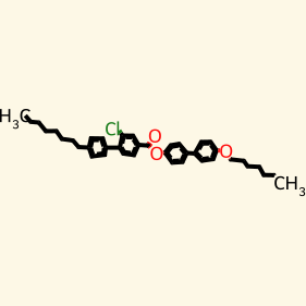 CCCCCCCCc1ccc(-c2ccc(C(=O)Oc3ccc(-c4ccc(OCCCCCCC)cc4)cc3)cc2Cl)cc1